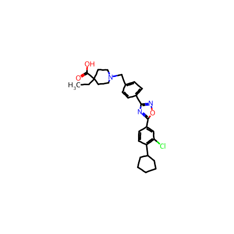 CCC1(C(=O)O)CCN(Cc2ccc(-c3noc(-c4ccc(C5CCCCC5)c(Cl)c4)n3)cc2)CC1